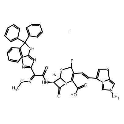 CON=C(C(=O)N[C@@H]1C(=O)N2C(C(=O)O)=C(C=Cc3csc4cn(C)c[n+]34)C(F)S[C@H]12)c1nsc(NC(c2ccccc2)(c2ccccc2)c2ccccc2)n1.[I-]